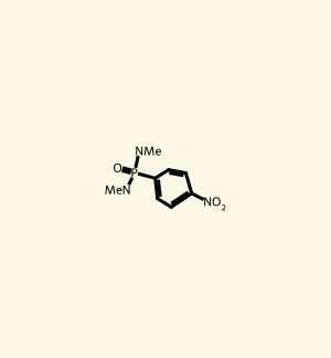 CNP(=O)(NC)c1ccc([N+](=O)[O-])cc1